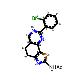 CC(=O)Nc1nc2c(s1)-c1nc(-c3ccccc3Br)ncc1CC2